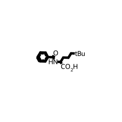 CC(C)(C)CCCC(NC(=O)c1cc#ccc1)C(=O)O